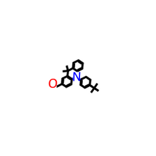 CC(C)(C)C1=CC=C(N2c3ccccc3C(C)(C)c3cc(C=O)ccc32)CC1